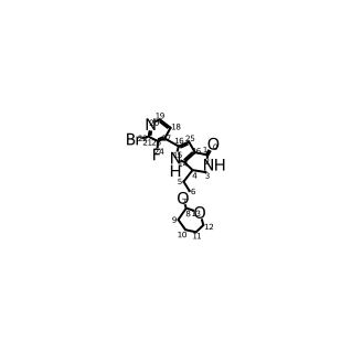 O=C1NCC(CCOC2CCCCO2)c2[nH]c(-c3ccnc(Br)c3F)cc21